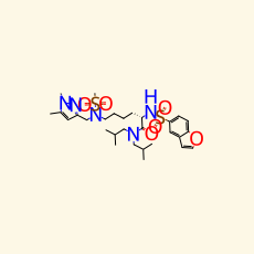 Cc1cc(CN(CCCC[C@H](NS(=O)(=O)c2ccc3occc3c2)C(=O)N(CC(C)C)CC(C)C)S(C)(=O)=O)nn1C